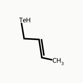 CC=CC[TeH]